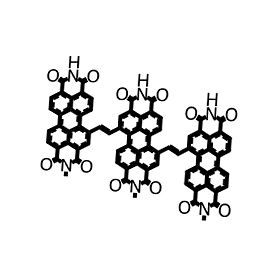 CN1C(=O)c2ccc3c4ccc5c6c(cc(/C=C/c7cc8c9c(ccc%10c%11c(/C=C/c%12cc%13c%14c(ccc%15c%16ccc%17c%18c(ccc(c%12c%14%15)c%18%16)C(=O)NC%17=O)C(=O)N(C)C%13=O)cc%12c%13c(ccc(c7c9%10)c%13%11)C(=O)NC%12=O)C(=O)N(C)C8=O)c(c7ccc(c2c37)C1=O)c64)C(=O)NC5=O